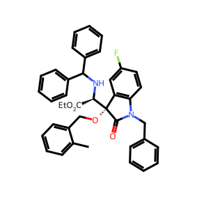 CCOC(=O)[C@@H](NC(c1ccccc1)c1ccccc1)[C@]1(OCc2ccccc2C)C(=O)N(Cc2ccccc2)c2ccc(F)cc21